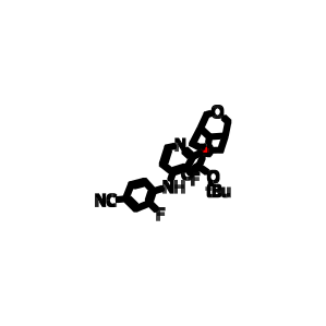 CC(C)(C)OC(=O)N1CC2COCC(C1)C2Oc1nccc(Nc2ccc(C#N)cc2F)c1F